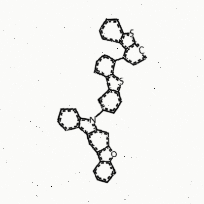 c1ccc2c(c1)oc1cc3c(cc12)c1ccccc1n3-c1ccc2sc3c(-c4cccc5sc6ccccc6c45)cccc3c2c1